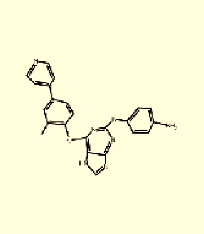 Cc1cc(-c2ccncc2)ccc1Oc1nc(Nc2ccc(N)cc2)nc2nc[nH]c12